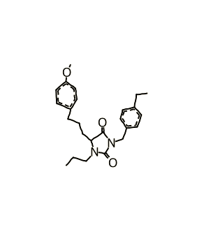 CCCN1C(=O)N(Cc2ccc(CC)cc2)C(=O)C1CCCc1ccc(OC)cc1